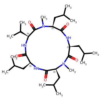 CC(C)C[C@@H]1NC(=O)[C@H](CC(C)C)N(C)C(=O)[C@H](CC(C)C)NC(=O)[C@H](CC(C)C)N(C)C(=O)[C@H](C(C)C)NC1=O